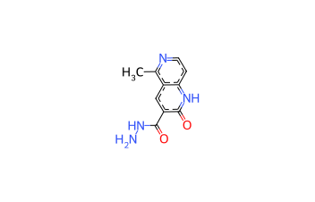 Cc1nccc2[nH]c(=O)c(C(=O)NN)cc12